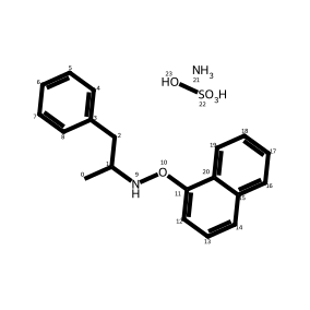 CC(Cc1ccccc1)NOc1cccc2ccccc12.N.O=S(=O)(O)O